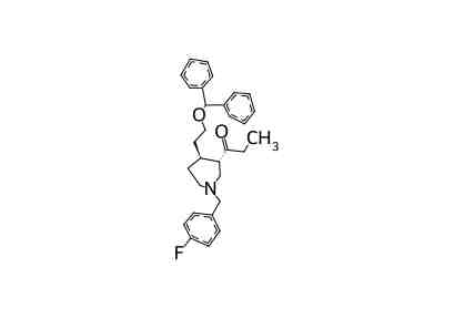 CCC(=O)[C@@H]1CN(Cc2ccc(F)cc2)CC[C@H]1CCOC(c1ccccc1)c1ccccc1